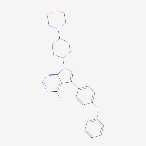 Nc1ncnc2c1c(-c1ccc(Oc3ccccc3)cc1)cn2C1CCC(N2CCOCC2)CC1